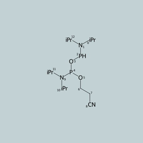 CC(C)N(POP(OCCC#N)N(C(C)C)C(C)C)C(C)C